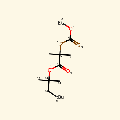 CCOC(=S)SC(C)(C)C(=O)OC(C)(C)CC(C)(C)C